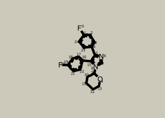 Fc1ccc(-c2ncn(C3CCCCO3)c2-c2ccc(F)cc2)cc1